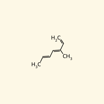 C=CC(C)=CC=CC